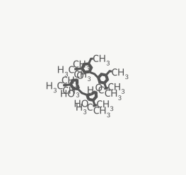 CCc1cc2c(c(C(C)(C)C)c1)Oc1cc(c(O)c(C(C)(C)C)c1)Cc1cc(cc(C(C)(C)C)c1O)Oc1c(cc(CC)cc1C(C)(C)C)C2